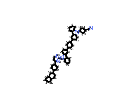 N#Cc1ccc(-n2c3ccccc3c3cc(-c4ccc(-c5ccc6c(c5)c5ccccc5n6-c5nccc(-c6ccc(-c7ccc8ccccc8c7)cc6)n5)cc4)ccc32)cc1